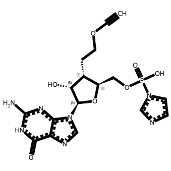 C#COCC[C@H]1[C@@H](O)[C@H](n2cnc3c(=O)[nH]c(N)nc32)O[C@@H]1COP(=O)(O)n1ccnc1